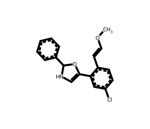 CO/C=C/c1ccc(Cl)cc1C1=CNC(c2ccccc2)O1